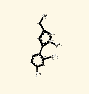 Cc1ccc(-c2cc(CO)nn2C)c(C)c1